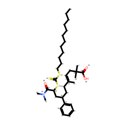 CCCCCCCCCCCCSC(=S)SC(CC(CC/C(C)=C/CC(C)(C)C(=O)O)c1ccccc1)C(=O)N(C)C